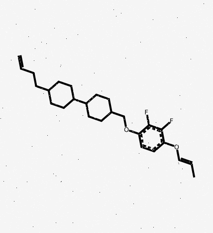 C=CCCC1CCC(C2CCC(COc3ccc(O/C=C/C)c(F)c3F)CC2)CC1